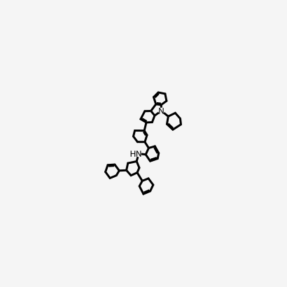 C1=CC(NC2CC(C3C=CCCC3)CC(C3CC=CCC3)C2)C(C2C=C(C3=CCC4C5=C(CCC=C5)N(C5C=CCCC5)C4C3)CCC2)C=C1